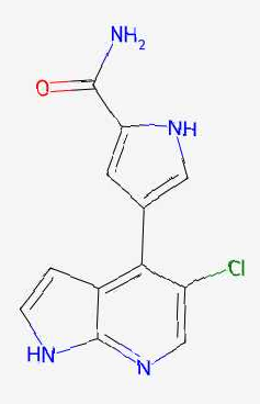 NC(=O)c1cc(-c2c(Cl)cnc3[nH]ccc23)c[nH]1